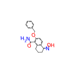 NC(=O)c1c(OCc2ccccc2)ccc2c1CCC/C2=N/O